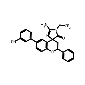 [C-]#[N+]c1cccc(-c2ccc3c(c2)C2(CC(c4ccccc4)O3)N=C(N)N(CC(F)(F)F)C2=O)c1